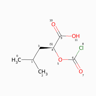 CC(C)C[C@H](OC(=O)Cl)C(=O)O